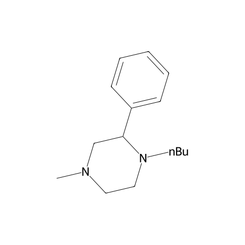 CCCCN1CCN(C)CC1c1ccccc1